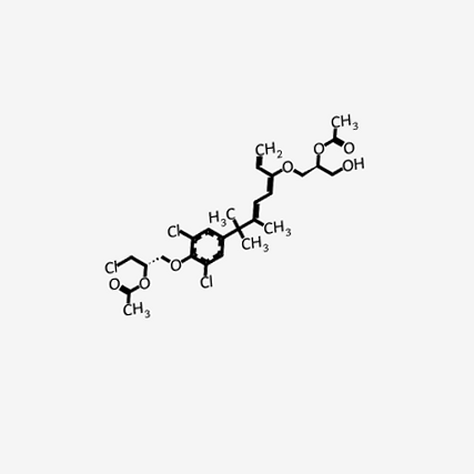 C=C/C(=C\C=C(/C)C(C)(C)c1cc(Cl)c(OC[C@@H](CCl)OC(C)=O)c(Cl)c1)OC[C@H](CO)OC(C)=O